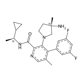 Cc1cnc(C(=O)N[C@@H](C)C2CC2)c(N2CC[C@](C)(N)C2)c1-c1cc(F)cc(F)c1